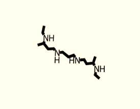 CCNC(C)CCNCCCNCCC(C)NCC